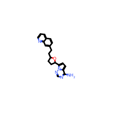 Nc1ncnn2c(C3CCC(CCc4ccc5cccnc5c4)O3)ccc12